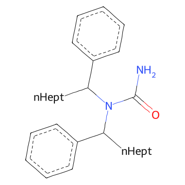 CCCCCCCC(c1ccccc1)N(C(N)=O)C(CCCCCCC)c1ccccc1